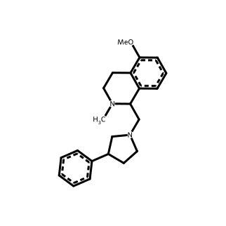 COc1cccc2c1CCN(C)C2CN1CCC(c2ccccc2)C1